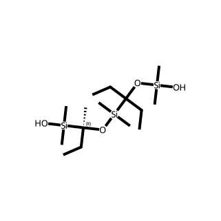 CCC(CC)(O[Si](C)(C)O)[Si](C)(C)O[C@@](C)(CC)[Si](C)(C)O